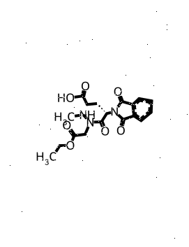 CCOC(=O)CN(NC)C(=O)[C@H](CCC(=O)O)N1C(=O)c2ccccc2C1=O